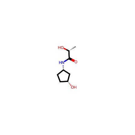 C[C@@H](O)C(=O)N[C@H]1CC[C@@H](O)C1